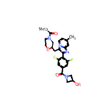 COC(=O)N1CCOC(Cc2c(-c3c(F)cc(C(=O)N4CC(O)C4)cc3F)nc3cc(C)ccn23)C1